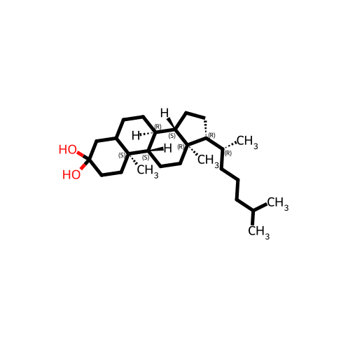 CC(C)CCC[C@@H](C)[C@H]1CC[C@H]2[C@@H]3CCC4CC(O)(O)CC[C@]4(C)[C@H]3CC[C@]12C